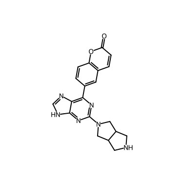 O=c1ccc2cc(-c3nc(N4CC5CNCC5C4)nc4[nH]cnc34)ccc2o1